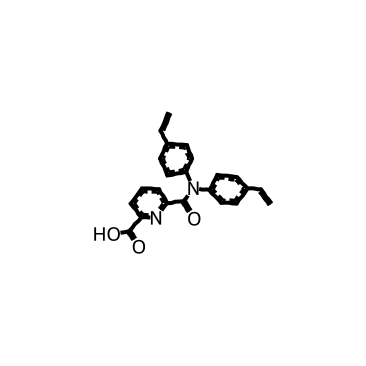 C=Cc1ccc(N(C(=O)c2cccc(C(=O)O)n2)c2ccc(C=C)cc2)cc1